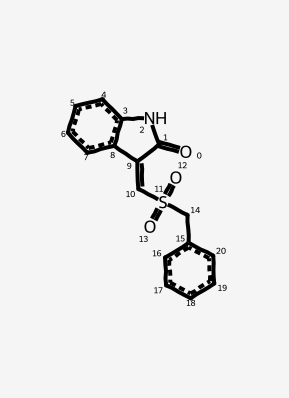 O=C1Nc2ccccc2C1=CS(=O)(=O)Cc1ccccc1